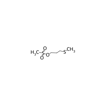 CSCCCOS(C)(=O)=O